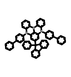 c1ccc(-c2ccc(N3c4ccccc4B4c5ccccc5N(c5ccc(-c6ccccc6)cc5)c5cc(C6(c7ccccc7)c7ccccc7-c7ccccc76)cc3c54)cc2)cc1